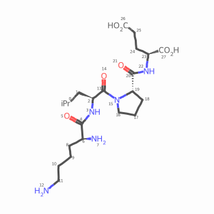 CC(C)C[C@H](NC(=O)[C@@H](N)CCCCN)C(=O)N1CCC[C@H]1C(=O)N[C@@H](CCC(=O)O)C(=O)O